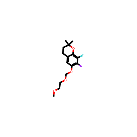 COCCOCOc1cc2c(c(F)c1I)OC(C)(C)CC2